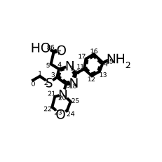 CCSc1c(CC(=O)O)nc(-c2ccc(N)cc2)nc1N1CCOCC1